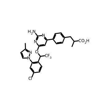 Cc1ccn(-c2cc(Cl)ccc2C(Oc2cc(-c3ccc(CC(C)C(=O)O)cc3)nc(N)n2)C(F)(F)F)n1